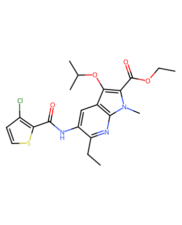 CCOC(=O)c1c(OC(C)C)c2cc(NC(=O)c3sccc3Cl)c(CC)nc2n1C